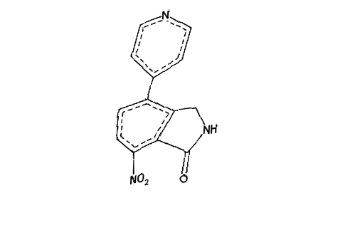 O=C1NCc2c(-c3ccncc3)ccc([N+](=O)[O-])c21